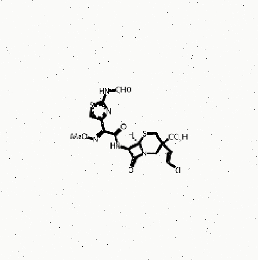 CON=C(C(=O)NC1C(=O)N2CC(C=CCl)(C(=O)O)CS[C@H]12)c1csc(NC=O)n1